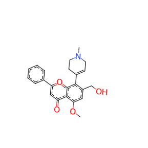 COc1cc(CO)c(C2=CCN(C)CC2)c2oc(-c3ccccc3)cc(=O)c12